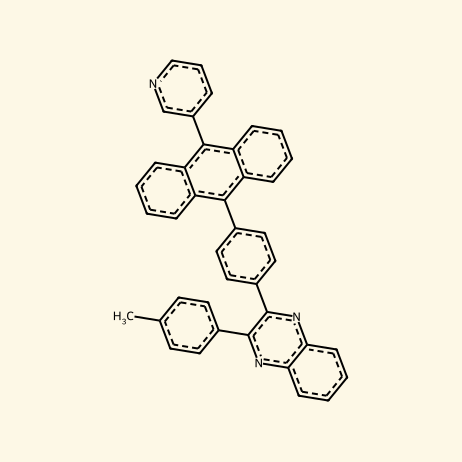 Cc1ccc(-c2nc3ccccc3nc2-c2ccc(-c3c4ccccc4c(-c4cccnc4)c4ccccc34)cc2)cc1